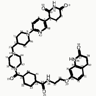 O=C1CCC(c2ccc(N3CCC(CN4CCN(C(=O)C5CCC(C(=O)NCCOc6ccc7c(c6)NC(=O)CC7)CC5)CC4)CC3)nc2)C(=O)N1